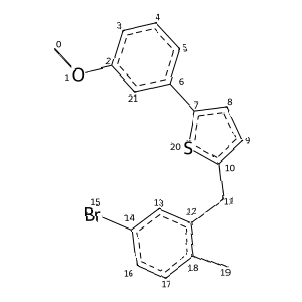 COc1cccc(-c2ccc(Cc3cc(Br)ccc3C)s2)c1